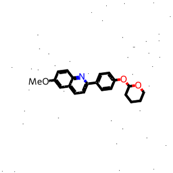 COc1ccc2nc(-c3ccc(OC4CCCCO4)cc3)ccc2c1